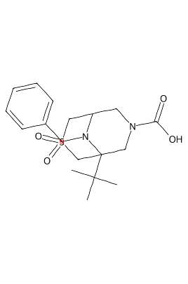 CC(C)(C)C12CN(C(=O)O)CC(CS(=O)(=O)C1)N2Cc1ccccc1